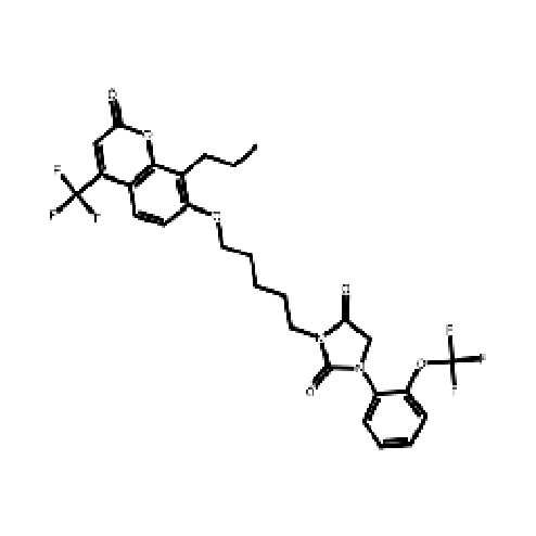 CCCc1c(OCCCCCN2C(=O)CN(c3ccccc3OC(F)(F)F)C2=O)ccc2c(C(F)(F)F)cc(=O)oc12